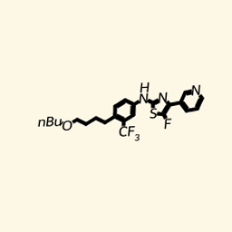 CCCCOCCCCc1ccc(Nc2nc(-c3cccnc3)c(F)s2)cc1C(F)(F)F